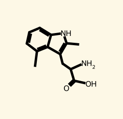 Cc1[nH]c2cccc(C)c2c1CC(N)C(=O)O